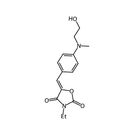 CCN1C(=O)O/C(=C\c2ccc(N(C)CCO)cc2)C1=O